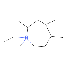 CC[N+]1(C)CCC(C)C(C)CC1C